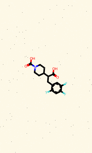 O=C(O)C(Cc1cc(F)c(F)cc1F)C1CCN(C(=O)O)CC1